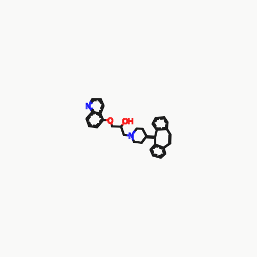 OC(COc1cccc2ncccc12)CN1CCC(=C2c3ccccc3C=Cc3ccccc32)CC1